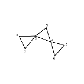 C1CC12CC21CC1